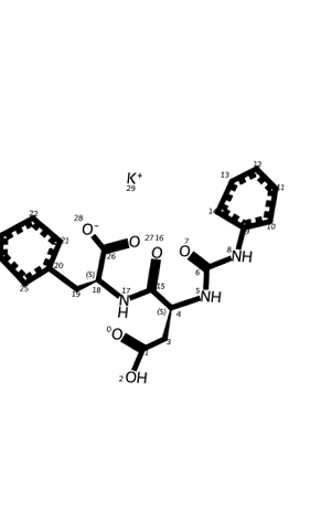 O=C(O)C[C@H](NC(=O)Nc1ccccc1)C(=O)N[C@@H](Cc1ccccc1)C(=O)[O-].[K+]